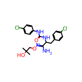 CC(C)(O)CO/N=C(\N)C(Cc1ccc(Cl)cc1)NC(=O)Nc1ccc(Cl)cc1